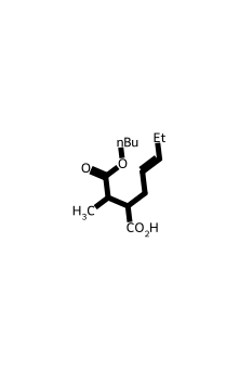 CCC=CCC(C(=O)O)C(C)C(=O)OCCCC